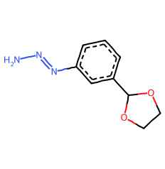 NN=Nc1cccc(C2OCCO2)c1